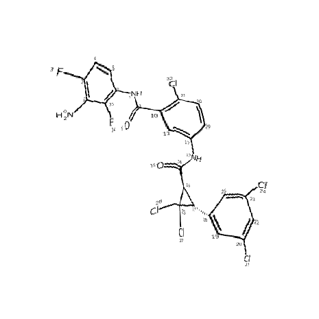 Nc1c(F)ccc(NC(=O)c2cc(NC(=O)[C@H]3[C@H](c4cc(Cl)cc(Cl)c4)C3(Cl)Cl)ccc2Cl)c1F